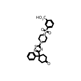 O=C1CCC(c2ccccc2)(c2nsc(N3CCN(S(=O)(=O)c4cccc(C(=O)O)c4)CC3)n2)CC1